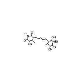 CCN1C(=O)C(=CC=CC=Cc2c(C)c(C#N)c(=O)n(CC)c2O)C(C)=C(C#N)C1=O